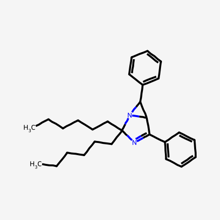 CCCCCCC1(CCCCCC)N=C(c2ccccc2)C2C(c3ccccc3)N21